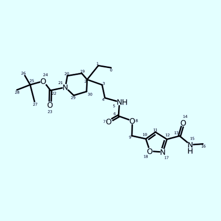 CCC1(CCNC(=O)OCc2cc(C(=O)NC)no2)CCN(C(=O)OC(C)(C)C)CC1